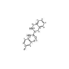 O=C(Nc1ccc(F)cc1F)C1Cc2ccccc2CN1